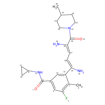 Cc1c(F)cc(C(=O)NC2CC2)cc1/C(N)=C/C=C(\N)C(=O)N1CCC(C)CC1